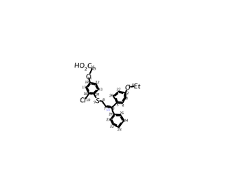 CCOc1ccc(/C(=C\CSc2ccc(OCC(=O)O)cc2Cl)c2ccccc2)cc1